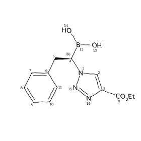 CCOC(=O)c1cn([C@@H](Cc2ccccc2)B(O)O)nn1